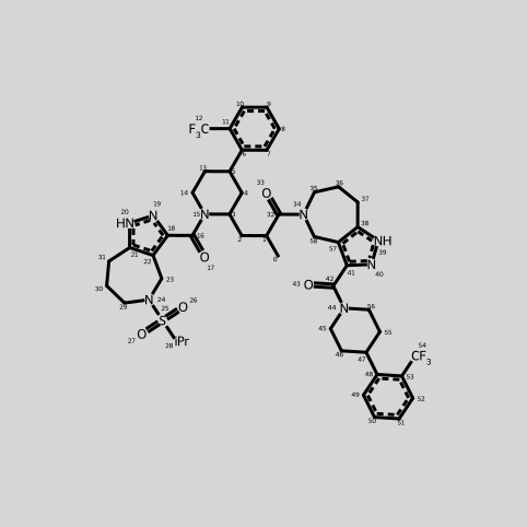 CC(CC1CC(c2ccccc2C(F)(F)F)CCN1C(=O)c1n[nH]c2c1CN(S(=O)(=O)C(C)C)CCC2)C(=O)N1CCCc2[nH]nc(C(=O)N3CCC(c4ccccc4C(F)(F)F)CC3)c2C1